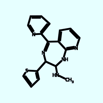 CNC1Nc2ncccc2C(c2ccccn2)=NC1c1cccs1